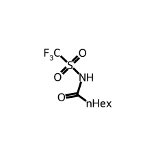 CCCCCCC(=O)NS(=O)(=O)C(F)(F)F